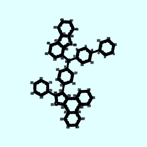 c1ccc(-c2ccc(N(c3ccc(-c4c(-c5ccccc5)oc5c6ccccc6c6ccccc6c45)cc3)c3cccc4c3sc3ccccc34)cc2)cc1